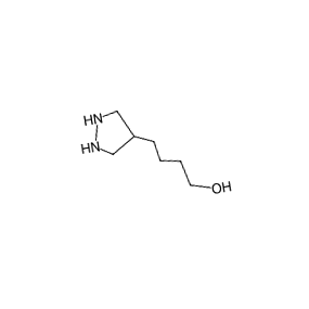 OCCCCC1CNNC1